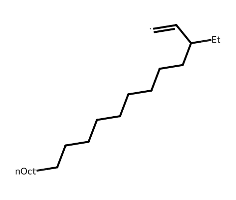 [CH]=CC(CC)CCCCCCCCCCCCCCCCC